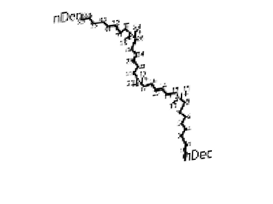 CCCCCCCCCCCCCCCCCC[N+](C)(C)CCCCCC[N+](C)(C)CCCCCC[N+](C)(C)CCCCCCCCCCCCCCCCCC